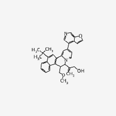 C=C(CO)C1C(COC)c2c(cc(C(C)(C)C)c3ccccc23)-c2cc(-c3cncc4occc34)cc[n+]21